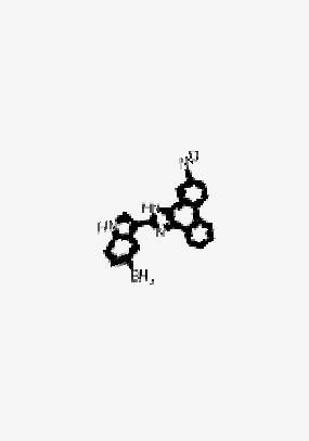 Bc1ccc2[nH]cc(-c3nc4c5ccccc5c5ccc(N=O)cc5c4[nH]3)c2c1